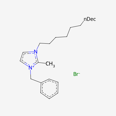 CCCCCCCCCCCCCCCCn1cc[n+](Cc2ccccc2)c1C.[Br-]